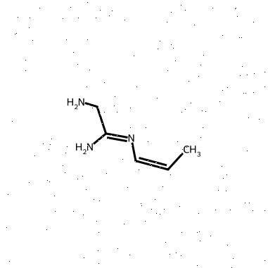 C/C=C\N=C(/N)CN